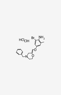 Cc1cc(OC=C2CN(Cc3ccccc3)CCO2)cc(Br)c1N.Cl.Cl